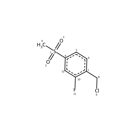 CS(=O)(=O)c1ccc(CCl)c(F)c1